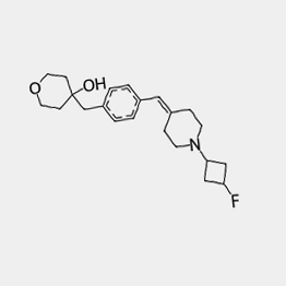 OC1(Cc2ccc(C=C3CCN(C4CC(F)C4)CC3)cc2)CCOCC1